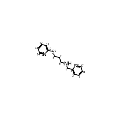 c1ccc(CNCCCSc2ccccn2)nc1